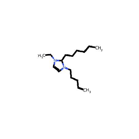 CCCCCCC1N(CC)C=CN1CCCCC